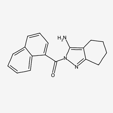 Nc1c2c(nn1C(=O)c1cccc3ccccc13)CCCC2